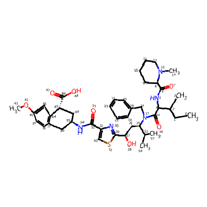 CCC(C)C(NC(=O)C1CCCCN1C)C(=O)N(Cc1ccccc1)[C@H](C[C@@H](O)c1nc(C(=O)N[C@H]2Cc3ccc(OC)cc3[C@H](C(=O)O)C2)cs1)C(C)C